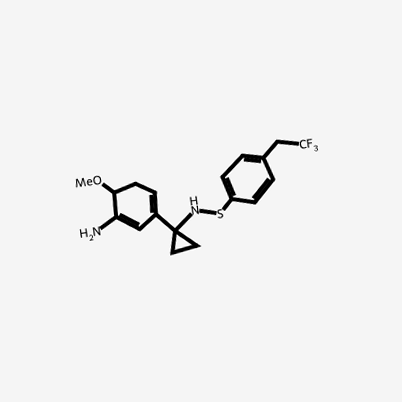 COC1CC=C(C2(NSc3ccc(CC(F)(F)F)cc3)CC2)C=C1N